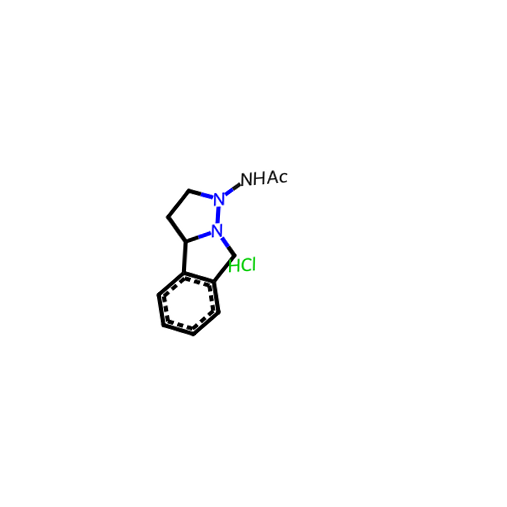 CC(=O)NN1CCC2c3ccccc3CN21.Cl